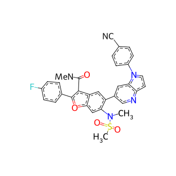 CNC(=O)c1c(-c2ccc(F)cc2)oc2cc(N(C)S(C)(=O)=O)c(-c3cnc4ccn(-c5ccc(C#N)cc5)c4c3)cc12